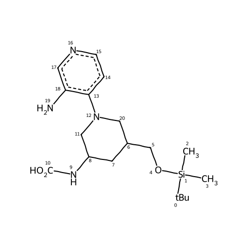 CC(C)(C)[Si](C)(C)OCC1CC(NC(=O)O)CN(c2ccncc2N)C1